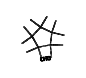 CC1(C)C(C)(C)C(C)(C)C(C)(C=O)C1(C)C